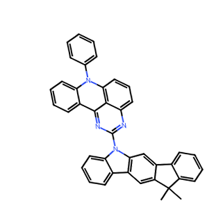 CC1(C)c2ccccc2-c2cc3c(cc21)c1ccccc1n3-c1nc2c3c(cccc3n1)N(c1ccccc1)c1ccccc1-2